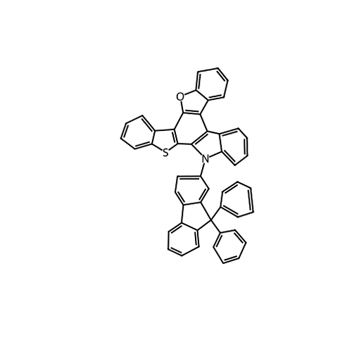 c1ccc(C2(c3ccccc3)c3ccccc3-c3ccc(-n4c5ccccc5c5c6c7ccccc7oc6c6c7ccccc7sc6c54)cc32)cc1